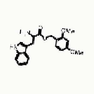 COc1ccc(COC(=O)C(N)Cc2c[nH]c3ccccc23)c(OC)c1